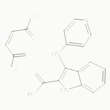 O=C(O)/C=C\C(=O)O.O=C(O)c1[nH]c2ccccc2c1Nc1ccncc1